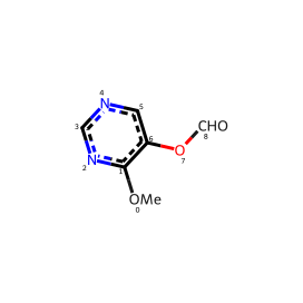 COc1ncncc1OC=O